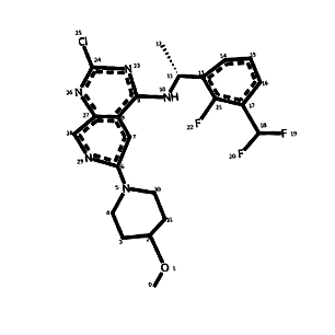 COC1CCN(c2cc3c(N[C@H](C)c4cccc(C(F)F)c4F)nc(Cl)nc3cn2)CC1